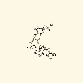 CC(c1ccc(Oc2ccc(CC(=O)O)cc2)cc1Cl)C(O)(c1ccc(=O)n(C)c1)C(F)(F)F